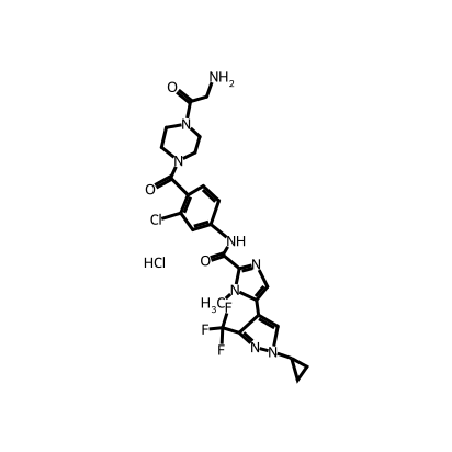 Cl.Cn1c(-c2cn(C3CC3)nc2C(F)(F)F)cnc1C(=O)Nc1ccc(C(=O)N2CCN(C(=O)CN)CC2)c(Cl)c1